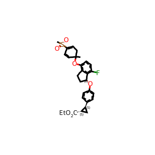 CCOC(=O)[C@H]1C[C@@H]1c1ccc(O[C@@H]2CCc3c(OC4(C)C=CC(S(C)(=O)=O)=CC4)ccc(F)c32)cc1